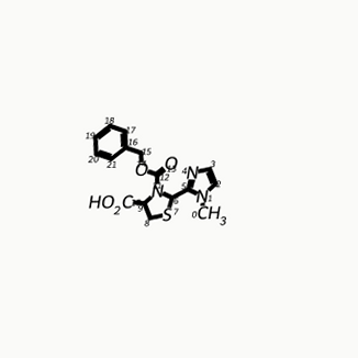 Cn1ccnc1C1SCC(C(=O)O)N1C(=O)OCc1ccccc1